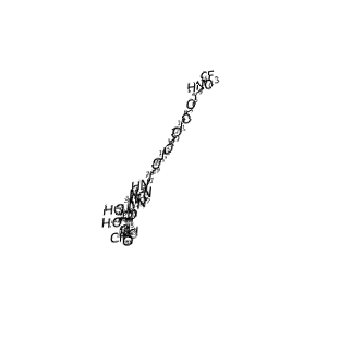 O=C(NCCCOCCOCCOCCOCCOCCCNc1ncnc2c1ncn2[C@@H]1O[C@H](COP(=O)(Cl)Cl)[C@H](O)C1O)C(F)(F)F